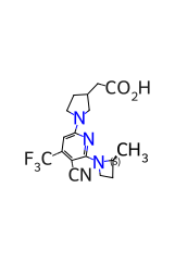 C[C@H]1CCN1c1nc(N2CCC(CC(=O)O)C2)cc(C(F)(F)F)c1C#N